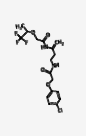 C=C(CCNC(=O)COc1ccc(Cl)cc1)NC(=O)COC(C)C(F)(F)F